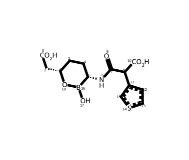 O=C(O)C[C@@H]1CC[C@H](NC(=O)C(C(=O)O)c2ccsc2)B(O)O1